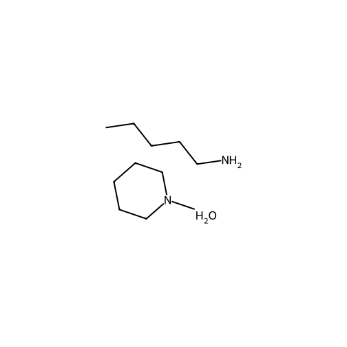 CCCCCN.CN1CCCCC1.O